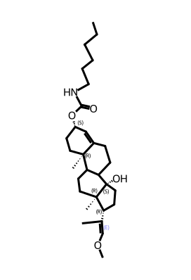 CCCCCCNC(=O)O[C@@H]1C=C2CCC3C(CC[C@]4(C)[C@@H](/C(C)=C/OC)CC[C@]34O)[C@@]2(C)CC1